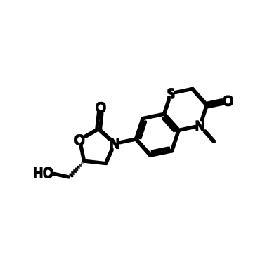 CN1C(=O)CSc2cc(N3C[C@H](CO)OC3=O)ccc21